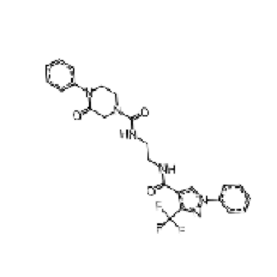 O=C(NCCNC(=O)N1CCN(c2ccccc2)C(=O)C1)c1cn(-c2ccccc2)nc1C(F)(F)F